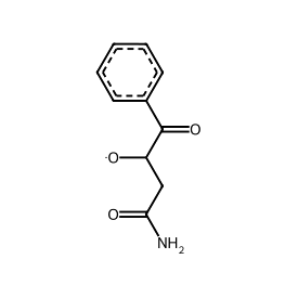 NC(=O)CC([O])C(=O)c1ccccc1